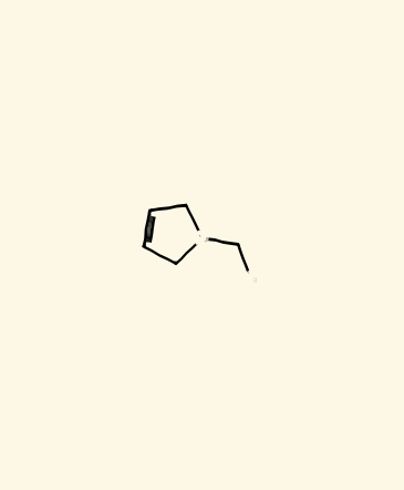 BrCN1CC=CC1